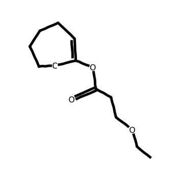 CCOCCC(=O)OC1=CCCCCC1